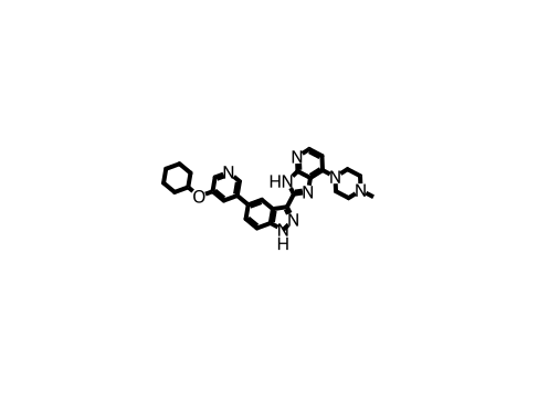 CN1CCN(c2ccnc3[nH]c(-c4n[nH]c5ccc(-c6cncc(OC7CCCCC7)c6)cc45)nc23)CC1